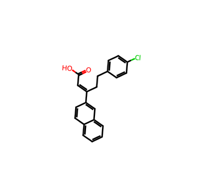 O=C(O)C=C(CCc1ccc(Cl)cc1)c1ccc2ccccc2c1